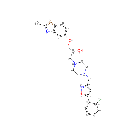 Cc1nc2cc(OC[C@H](O)CN3CCN(Cc4cc(-c5ccccc5Cl)on4)CC3)ccc2s1